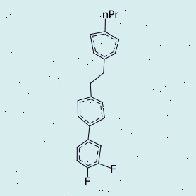 CCCc1ccc(CCc2ccc(-c3ccc(F)c(F)c3)cc2)cc1